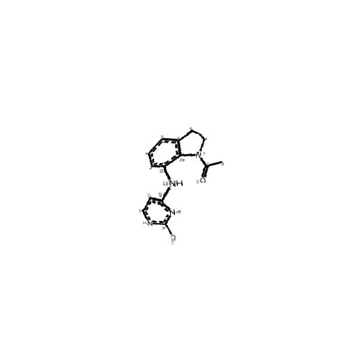 CC(=O)N1CCc2cccc(Nc3ccnc(Cl)n3)c21